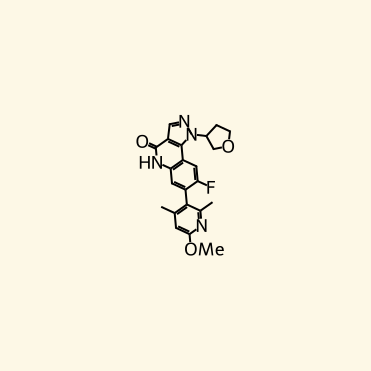 COc1cc(C)c(-c2cc3[nH]c(=O)c4cnn(C5CCOC5)c4c3cc2F)c(C)n1